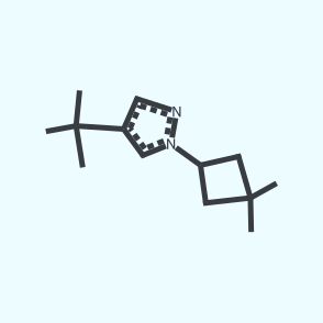 CC1(C)CC(n2cc(C(C)(C)C)cn2)C1